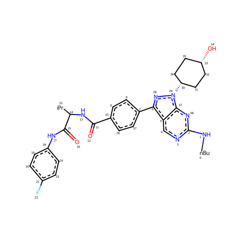 CCCCNc1ncc2c(-c3ccc(C(=O)NC(C(=O)Nc4ccc(F)cc4)C(C)C)cc3)nn([C@H]3CC[C@@H](O)CC3)c2n1